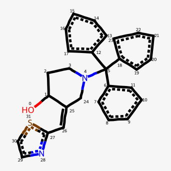 OC1CCN(C(c2ccccc2)(c2ccccc2)c2ccccc2)CC1=Cc1nccs1